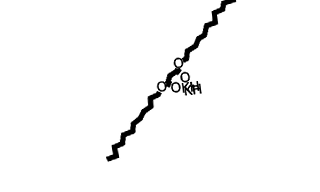 CCCCCCCCCCCCOC(=O)CC(=O)OCCCCCCCCCCCC.[KH].[KH]